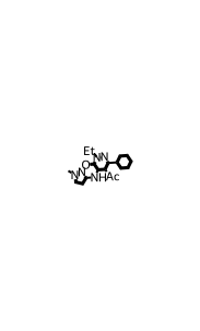 CCn1nc(-c2ccccc2)c(C(C)=O)c(Nc2ccn(C)n2)c1=O